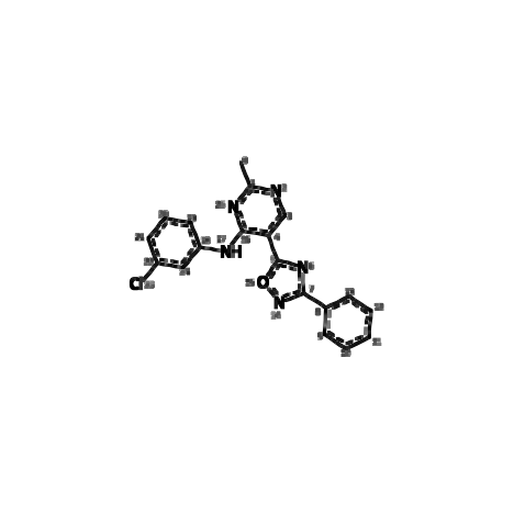 Cc1ncc(-c2nc(-c3ccccc3)no2)c(Nc2cccc(Cl)c2)n1